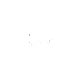 C.[O-2].[O-2].[U+4]